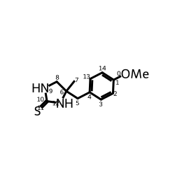 COc1ccc(CC2(C)CNC(=S)N2)cc1